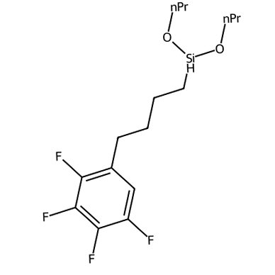 CCCO[SiH](CCCCc1cc(F)c(F)c(F)c1F)OCCC